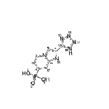 O=P(O)(O)c1ccn2cc(-c3nnn[nH]3)nc2c1